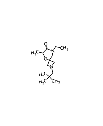 CCN1CC2(CN(CC(C)(C)C)C2)O[C@@H](C)C1=O